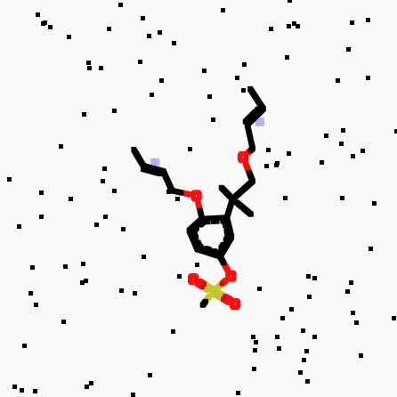 C/C=C/COCC(C)(C)c1cc(OS(C)(=O)=O)ccc1OC/C=C/C